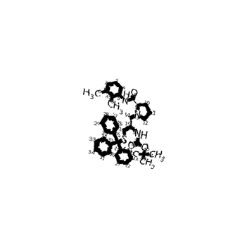 Cc1cccc(NC(=O)[C@@H]2CCCN2C[C@H](CSC(c2ccccc2)(c2ccccc2)c2ccccc2)NC(=O)OC(C)(C)C)c1C